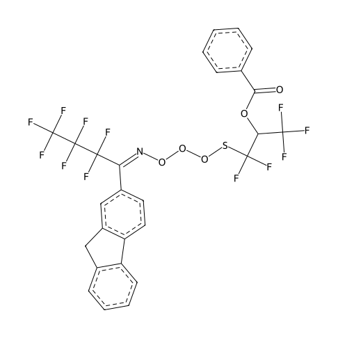 O=C(OC(C(F)(F)F)C(F)(F)SOOO/N=C(\c1ccc2c(c1)Cc1ccccc1-2)C(F)(F)C(F)(F)C(F)(F)F)c1ccccc1